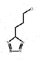 ClCCCC1N=NN=N1